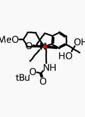 COC1CCC2(CC1)Cc1ccc(C(C)(O)O)cc1C21N=C(NC(=O)OC(C)(C)C)N(C)C1=O